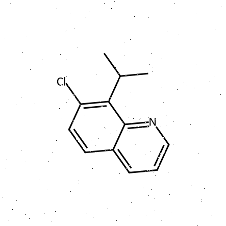 CC(C)c1c(Cl)ccc2cccnc12